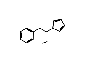 C1=CC(CCc2ccccc2)C=C1.[Cl][Ti]